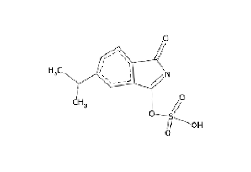 CC(C)c1ccc2c(c1)C(OS(=O)(=O)O)=NC2=O